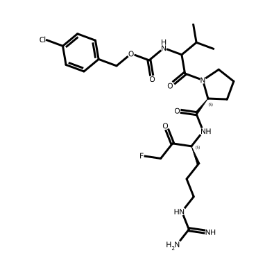 CC(C)C(NC(=O)OCc1ccc(Cl)cc1)C(=O)N1CCC[C@H]1C(=O)N[C@@H](CCCNC(=N)N)C(=O)CF